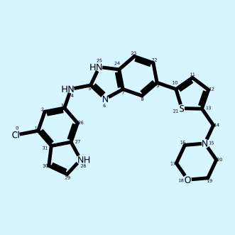 Clc1cc(Nc2nc3cc(-c4ccc(CN5CCOCC5)s4)ccc3[nH]2)cc2[nH]ccc12